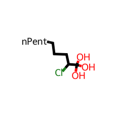 CCCCCCCCC(Cl)C(O)(O)O